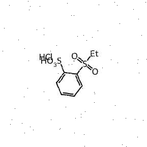 CCS(=O)(=O)c1ccccc1S(=O)(=O)O.Cl